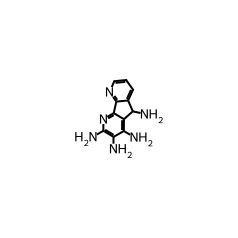 Nc1nc2c(c(N)c1N)C(N)c1cccnc1-2